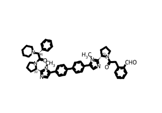 Cn1c(-c2ccc(-c3ccc(-c4cnc([C@@H]5CCCN5C(=O)[C@@H](c5ccccc5)N5CCCCC5)n4C)cc3)cc2)cnc1[C@@H]1CCCN1C(=O)Cc1ccccc1C=O